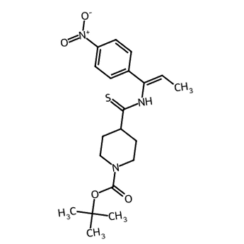 C/C=C(\NC(=S)C1CCN(C(=O)OC(C)(C)C)CC1)c1ccc([N+](=O)[O-])cc1